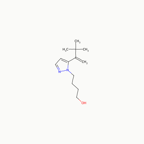 C=C(c1ccnn1CCCCO)C(C)(C)C